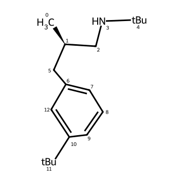 C[C@@H](CNC(C)(C)C)Cc1cccc(C(C)(C)C)c1